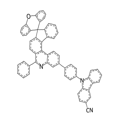 N#Cc1ccc2c(c1)c1ccccc1n2-c1ccc(-c2ccc3c(c2)nc(-c2ccccc2)c2ccc4c(c23)-c2ccccc2C42c3ccccc3Oc3ccccc32)cc1